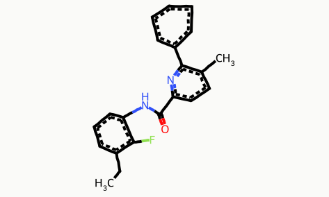 CCc1cccc(NC(=O)c2ccc(C)c(-c3ccccc3)n2)c1F